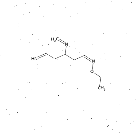 C=NC(CC=N)C/C=N\OCC